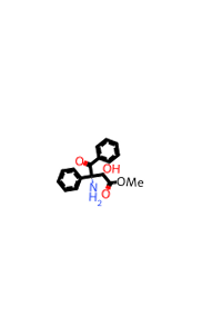 COC(=O)[C@H](O)[C@](N)(C(=O)c1ccccc1)c1ccccc1